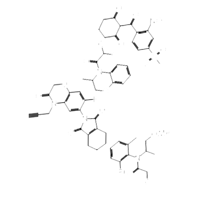 C#CCN1C(=O)COc2cc(F)c(N3C(=O)C4=C(CCCC4)C3=O)cc21.CC1COc2ccccc2N1C(=O)C(Cl)Cl.CCc1cccc(C)c1N(C(=O)CCl)C(C)COC.CS(=O)(=O)c1ccc(C(=O)C2C(=O)CCCC2=O)c([N+](=O)[O-])c1